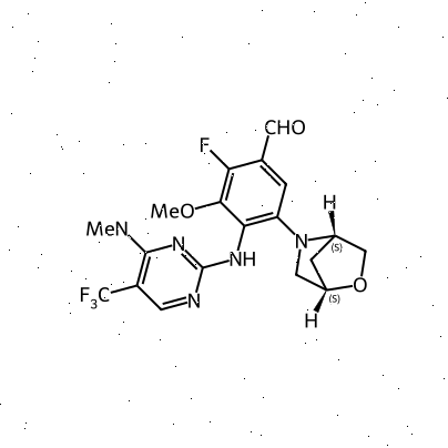 CNc1nc(Nc2c(N3C[C@@H]4C[C@H]3CO4)cc(C=O)c(F)c2OC)ncc1C(F)(F)F